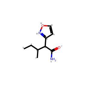 CCC(C)C(C(N)=O)c1ccon1